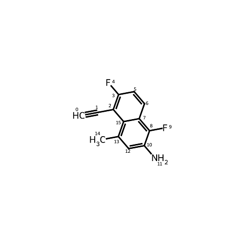 C#Cc1c(F)ccc2c(F)c(N)cc(C)c12